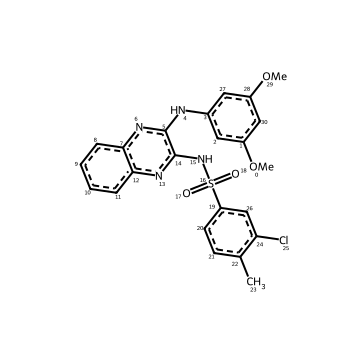 COc1cc(Nc2nc3ccccc3nc2NS(=O)(=O)c2ccc(C)c(Cl)c2)cc(OC)c1